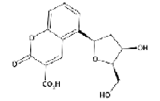 O=C(O)c1cc2c([C@H]3C[C@@H](O)[C@@H](CO)O3)cccc2oc1=O